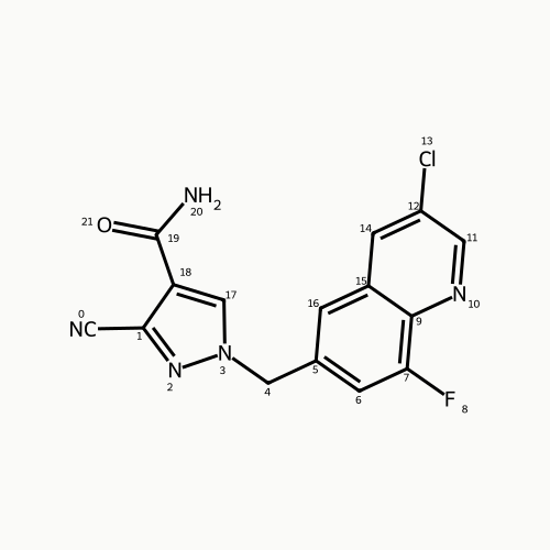 N#Cc1nn(Cc2cc(F)c3ncc(Cl)cc3c2)cc1C(N)=O